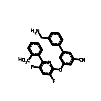 N#Cc1cc(Oc2nc(-c3ccccc3C(=O)O)c(F)cc2F)cc(-c2cccc(CN)c2)c1